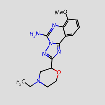 COc1cccc2c1nc(N)n1nc(C3CN(CC(F)(F)F)CCO3)nc21